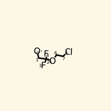 [O]CC(F)(F)OCCCl